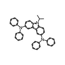 CC(C)n1c2ccc(N(c3ccccc3)c3ccccc3)cc2c2cc(N(c3ccccc3)c3ccccc3)ccc21